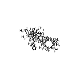 CC[C@H](C)[C@H](NC(=O)[C@@H](Cc1ccccc1)NC)C(=O)N[C@@H](C)C(=O)N[C@H](CCC(N)=O)C(=O)N[C@@H](C(=O)N[C@H](C(=O)N[C@@H](CO)C(=O)N[C@H]1C(=O)N[C@@H](C)C(=O)N[C@@]2(C[C@H]2CC(F)F)C(=O)N[C@@H]([C@@H](C)CC)C(=O)O[C@H]1C)[C@@H](C)CC)[C@@H](C)CC